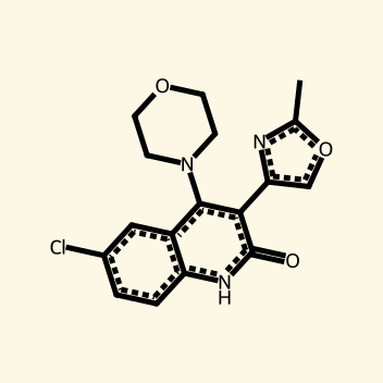 Cc1nc(-c2c(N3CCOCC3)c3cc(Cl)ccc3[nH]c2=O)co1